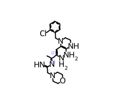 CC(=N\C(=N)CN1CCOCC1)/C(N)=C/C1=C(N)NCCN1Cc1ccccc1Cl